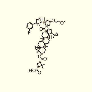 COCCO[C@@H]1C[C@@H](c2nc(-c3cccc(F)c3)c[nH]2)N(C(=O)[C@]23CCC(C4(C)CC4)[C@@H]2[C@H]2CC[C@@H]4[C@@]5(C)CC[C@H](OC(=O)[C@H]6C[C@@H](C(=O)O)C6(C)C)C(C)(C)[C@@H]5CC[C@@]4(C)[C@]2(C)CC3)C1